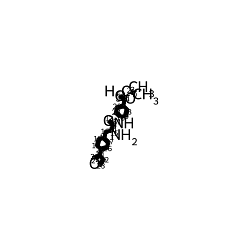 CC(C)(C)OC(=O)c1ccc(NC(=O)C(N)Cc2ccc(-c3ccoc3)cc2)cc1